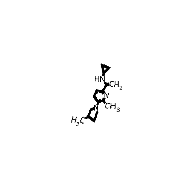 C=C(NC1CC1)c1ccc(N2CCC(C)C2)c(C)n1